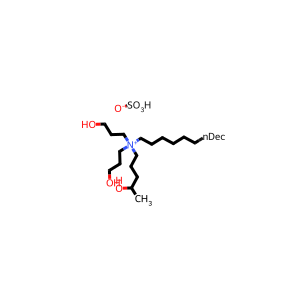 CCCCCCCCCCCCCCCC[N+](CCCO)(CCCO)CCCC(C)O.O=S(=O)([O-])O